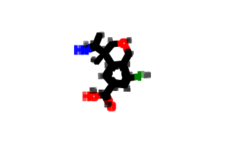 CC(=N)[C@]1(C)COCc2c(F)cc(C(=O)O)cc21